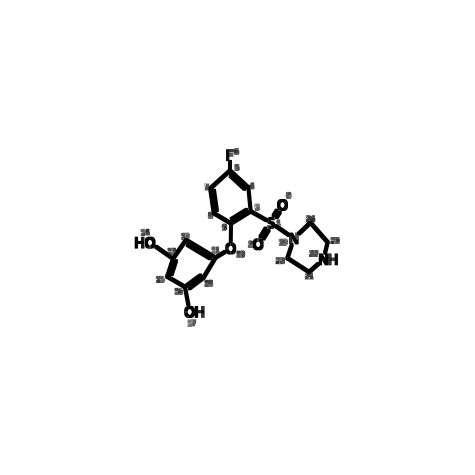 O=S(=O)(c1cc(F)ccc1Oc1cc(O)cc(O)c1)N1CCNCC1